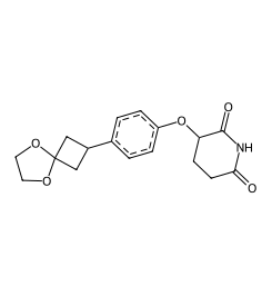 O=C1CCC(Oc2ccc(C3CC4(C3)OCCO4)cc2)C(=O)N1